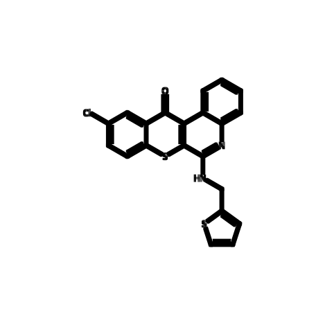 O=c1c2cc(Cl)ccc2sc2c(NCc3cccs3)nc3ccccc3c12